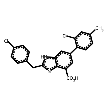 Cc1ccc(-c2cc(C(=O)O)c3nc(Cc4ccc(Cl)cc4)[nH]c3c2)c(Cl)c1